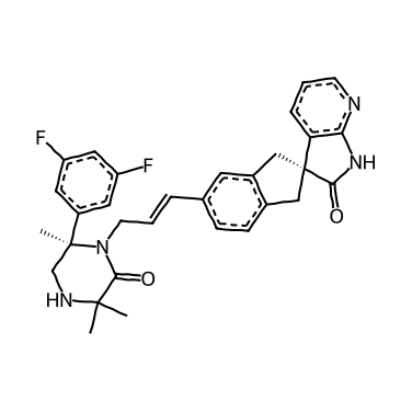 CC1(C)NC[C@@](C)(c2cc(F)cc(F)c2)N(C/C=C/c2ccc3c(c2)C[C@@]2(C3)C(=O)Nc3ncccc32)C1=O